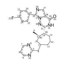 C[C@@H]1CC(Cc2ncccn2)CCC[C@H]1c1nn2c(-c3ccc(F)cc3)ncc2c(=O)[nH]1